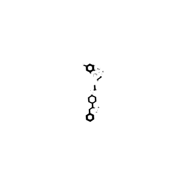 CN(C)C(Cc1ccccc1)C1CCC(NC(=O)COCCN(C)S(=O)(=O)c2c(Cl)cc(Cl)cc2Cl)CC1